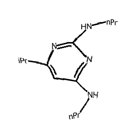 CCCNc1cc(C(C)C)nc(NCCC)n1